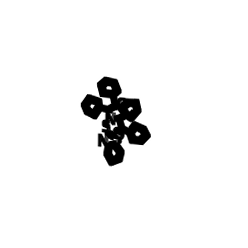 O=C(c1ccccc1)C(c1ccccc1)N(Sc1nc2ccccc2s1)C(C(=O)c1ccccc1)c1ccccc1